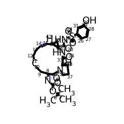 CC(C)(C)OC(=O)/N=C1/CCCCC/C=C\[C@@H]2C[C@@]2(C(=O)NS(=O)(=O)c2cccc(O)c2)NC(=O)[C@@H]2CCCN2C1=O